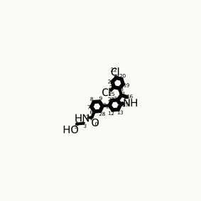 O=C(NCCO)c1cccc(-c2ccc3[nH]cc(-c4ccc(Cl)cc4Cl)c3c2)c1